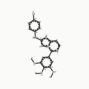 COc1cc(-c2nccc3nc(Nc4ccc(Cl)cc4)nn23)cc(OC)c1OC